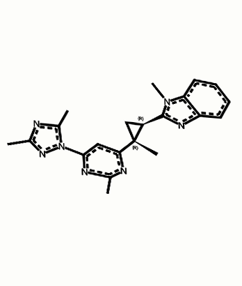 Cc1nc(-n2nc(C)nc2C)cc([C@]2(C)C[C@H]2c2nc3ccccc3n2C)n1